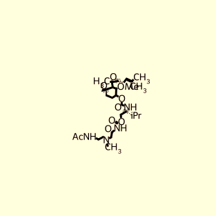 COC1C(OC(=O)N[C@@H](COC(=O)NC(=O)CN(C)CCNC(C)=O)C(C)C)CC[C@]2(CO2)C1C1(C)O[C@@H]1CC=C(C)C